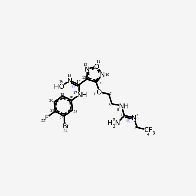 N/C(=N\CC(F)(F)F)NCCOc1nonc1/C(=N/O)Nc1ccc(F)c(Br)c1